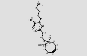 NCCCCC(NC(=O)OCC1[C@H]2CCC#CCC[C@@H]12)C(=O)O